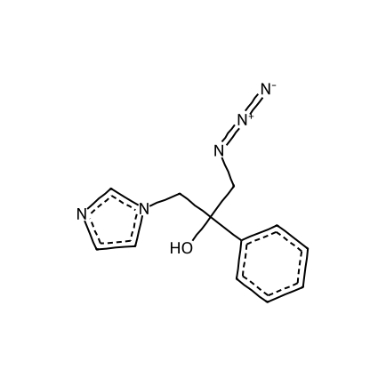 [N-]=[N+]=NCC(O)(Cn1ccnc1)c1ccccc1